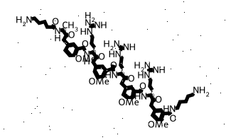 COc1ccc(CC(=O)[C@@H](CCCNC(=N)N)NC(=O)c2cc(CC(=O)[C@@H](CCCNC(=N)N)NC(=O)c3cc(CC(=O)[C@@H](CCCNC(=N)N)NC(=O)c4cc(CC(=O)[C@@H](C)NC(=O)CCCCN)ccc4OC)ccc3OC)ccc2OC)cc1C(=O)NCCCCCN